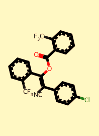 N#CC(=C(OC(=O)c1ccccc1C(F)(F)F)c1ccccc1C(F)(F)F)c1ccc(Cl)cc1